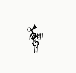 Cl.Cl.O=C(c1cnc(N2CCNCC2)c(Cl)c1)C1CC1